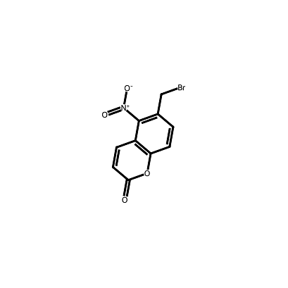 O=c1ccc2c([N+](=O)[O-])c(CBr)ccc2o1